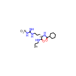 CC(C)C[CH]NC(=O)[C@H](CCCNC(=N)N[N+](=O)[O-])NC(=O)C1CCCCC1